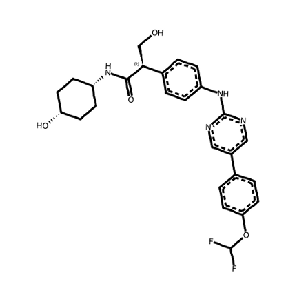 O=C(N[C@H]1CC[C@@H](O)CC1)[C@@H](CO)c1ccc(Nc2ncc(-c3ccc(OC(F)F)cc3)cn2)cc1